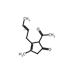 C/C=C/CC1=C(C)CC(=O)C1C(C)=O